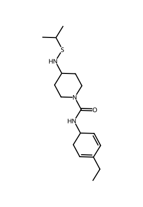 CCC1=CCC(NC(=O)N2CCC(NSC(C)C)CC2)C=C1